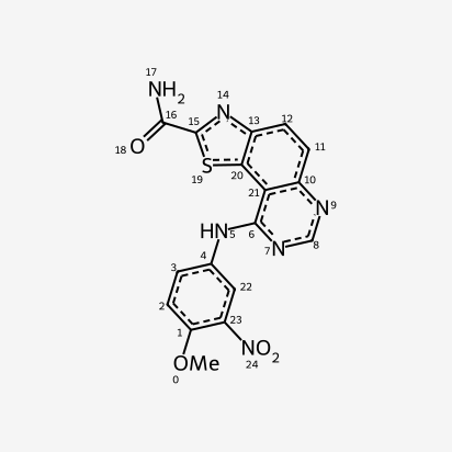 COc1ccc(Nc2ncnc3ccc4nc(C(N)=O)sc4c23)cc1[N+](=O)[O-]